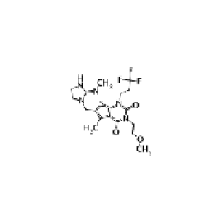 C/N=C1\NCCN1Cc1sc2c(c1C)c(=O)n(CCOC)c(=O)n2CCC(F)(F)F